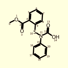 COC(=O)c1ccccc1SN(C(=O)O)c1ccccc1